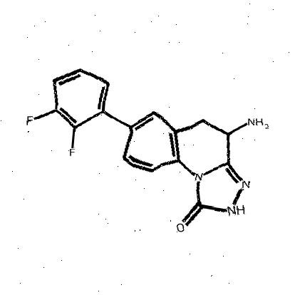 NC1Cc2cc(-c3cccc(F)c3F)ccc2-n2c1n[nH]c2=O